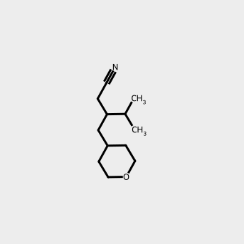 CC(C)C(CC#N)CC1CCOCC1